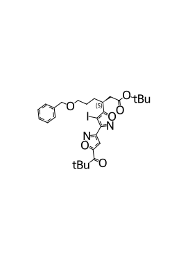 CC(C)(C)OC(=O)C[C@H](CCCOCc1ccccc1)c1onc(-c2cc(C(=O)C(C)(C)C)on2)c1I